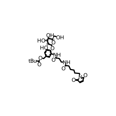 CC(C)(C)C(=O)OCc1ccc(OC2O[C@H](CO)[C@H](O)[C@H](O)[C@H]2O)c(NC(=O)CCNC(=O)CCCCCN2C(=O)C=CC2=O)c1